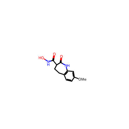 COc1ccc2c(c1)NC(=O)C(C(=O)NO)CC2